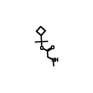 CNCC(=O)OC(C)(C)C1CCC1